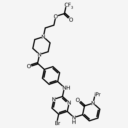 CC(C)n1cccc(Nc2nc(Nc3ccc(C(=O)N4CCN(CCOC(=O)C(F)(F)F)CC4)cc3)ncc2Br)c1=O